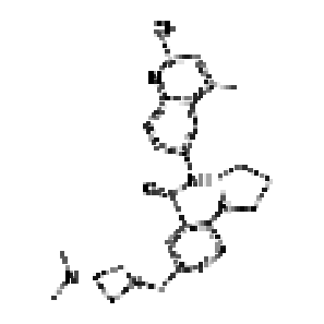 Cc1cc(O)nc2ccc(NC(=O)c3cc(CN4CC(N(C)C)C4)ccc3N3CCCC3)cc12